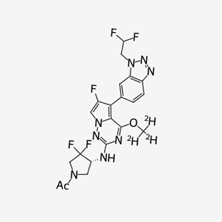 [2H]C([2H])([2H])Oc1nc(N[C@@H]2CN(C(C)=O)CC2(F)F)nn2cc(F)c(-c3ccc4nnn(CC(F)F)c4c3)c12